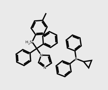 Cc1ccc([SiH2]C(c2ccccc2)(c2ccccc2)n2ccnc2)cc1.c1ccc(B(c2ccccc2)C2CC2)cc1